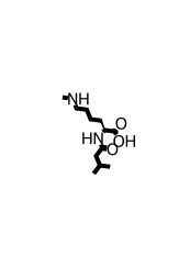 CNCCCC[C@H](NC(=O)CC(C)C)C(=O)O